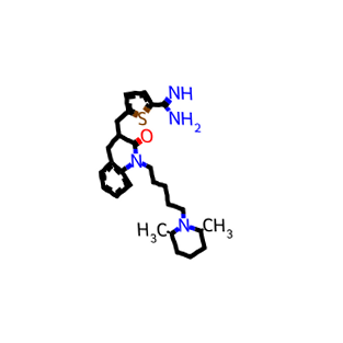 C[C@@H]1CCC[C@H](C)N1CCCCCN1C(=O)C(Cc2ccc(C(=N)N)s2)Cc2ccccc21